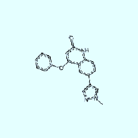 Cn1cc(-c2ccc3[nH]c(=O)cc(Oc4ccccc4)c3c2)cn1